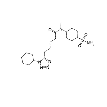 CN(C(=O)CCCCc1nnnn1C1CCCCC1)C1CCC(S(N)(=O)=O)CC1